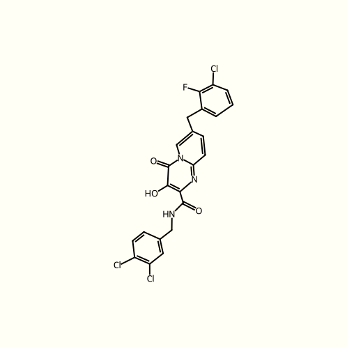 O=C(NCc1ccc(Cl)c(Cl)c1)c1nc2ccc(Cc3cccc(Cl)c3F)cn2c(=O)c1O